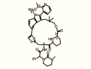 CCn1c(-c2cccnc2[C@H](C)OC)c2c3cc(ccc31)-c1csc(n1)C[C@H](NC(=O)C(C(C)C)N1CCCN(C)C1=O)C(=O)N1CCC[C@H](N1)C(=O)OCC(C)(C)C2